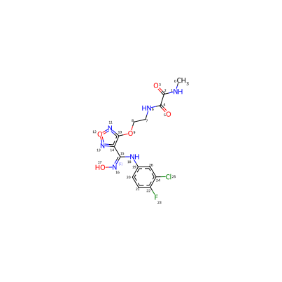 CNC(=O)C(=O)NCCOc1nonc1/C(=N\O)Nc1ccc(F)c(Cl)c1